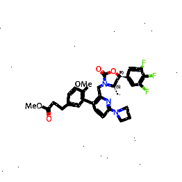 COC(=O)CCc1ccc(OC)c(-c2ccc(N3CCC3)nc2CN2C(=O)O[C@H](c3cc(F)c(F)c(F)c3)[C@@H]2C)c1